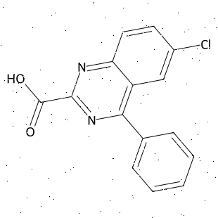 O=C(O)c1nc(-c2ccccc2)c2cc(Cl)ccc2n1